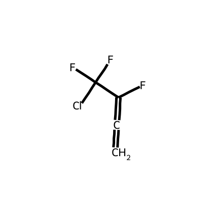 C=C=C(F)C(F)(F)Cl